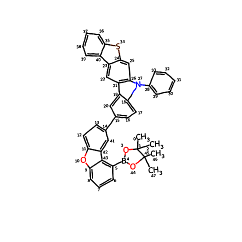 CC1(C)OB(c2cccc3oc4ccc(-c5ccc6c(c5)c5cc7c(cc5n6-c5ccccc5)sc5ccccc57)cc4c23)OC1(C)C